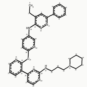 CCc1cc(-c2ccccc2)nnc1Nc1ccc(Oc2ncccc2-c2ccnc(NCCCN3CCCCC3)n2)nc1